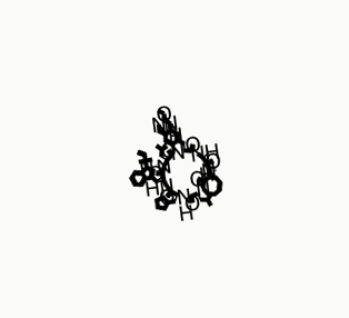 C=CC(C)(C)n1cc(C[C@@H]2NC(=O)[C@H](CC3CCCC3)NC(=O)[C@H](CC(C)C)N3CC/C=C\C[C@@H](C3=O)N(C)C(=O)[C@H](C)NC(=O)[C@H](Cc3ccc4cnc(OC)nc4c3)NC(=O)[C@H](CC(C)C)N(C)C2=O)c2ccccc21